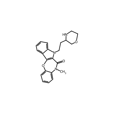 CN1C(=O)c2c(c3ccccc3n2CCC2COCCN2)Oc2ccccc21